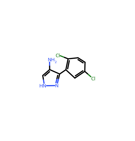 Nc1c[nH]nc1-c1cc(Cl)ccc1Cl